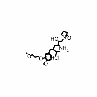 COCCCOc1cc(CC(CC(N)C(O)CN2CCCC2=O)C(C)C)ccc1OC.Cl